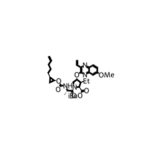 C=CCCC[C@@H]1C[C@H]1OC(=O)N[C@@H](C)C(=O)N1C[C@H](Oc2nc3cc(OC)ccc3nc2C=C)[C@@H](CC)[C@H]1C(=O)OCC(C)C